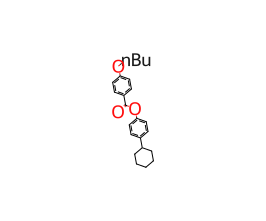 CCCCOc1ccc(C(=O)Oc2ccc(C3CCCCC3)cc2)cc1